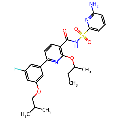 CCC(C)Oc1nc(-c2cc(F)cc(OCC(C)C)c2)ccc1C(=O)NS(=O)(=O)c1cccc(N)n1